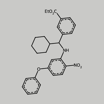 CCOC(=O)c1cccc(C(Nc2cc(Oc3ccccc3)ccc2[N+](=O)[O-])C2CCCCC2)c1